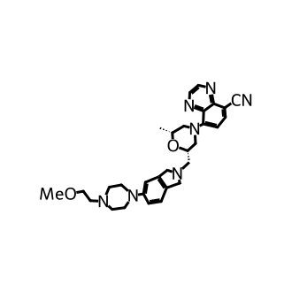 COCCN1CCN(c2ccc3c(c2)CN(C[C@H]2CN(c4ccc(C#N)c5nccnc45)C[C@@H](C)O2)C3)CC1